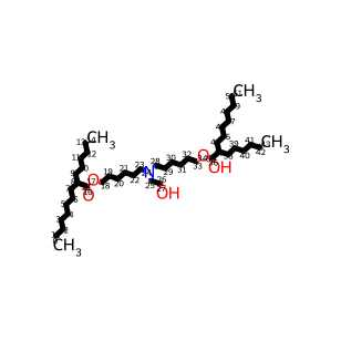 CCCCCCCCC(CCCCCC)C(=O)OCCCCCCN(CCO)CCCCCCOC(O)C(CCCCCC)CCCCCCCC